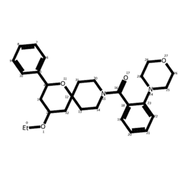 CCOC1CC(c2ccccc2)OC2(CCN(C(=O)c3ccccc3N3CCOCC3)CC2)C1